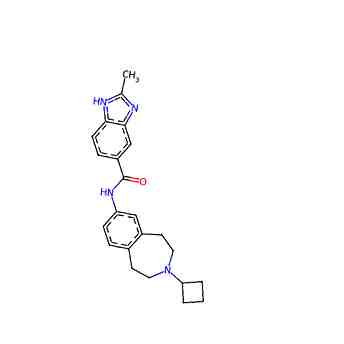 Cc1nc2cc(C(=O)Nc3ccc4c(c3)CCN(C3CCC3)CC4)ccc2[nH]1